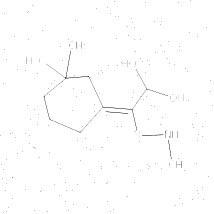 CNS/C(=C1\CCCC(C)(C)C1)C(O)O